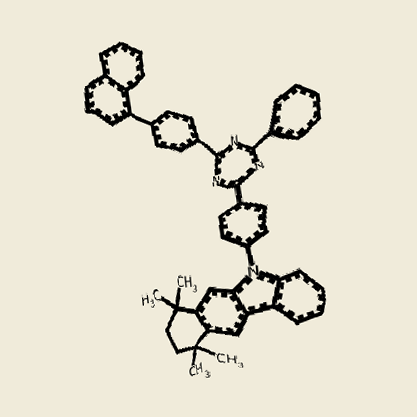 CC1(C)CCC(C)(C)c2cc3c(cc21)c1ccccc1n3-c1ccc(-c2nc(-c3ccccc3)nc(-c3ccc(-c4cccc5ccccc45)cc3)n2)cc1